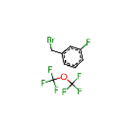 FC(F)(F)OC(F)(F)F.Fc1cccc(CBr)c1